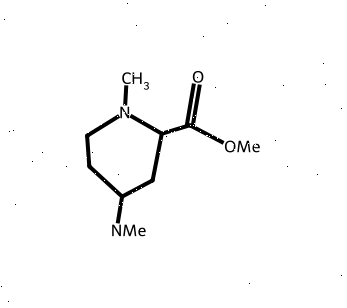 CNC1CCN(C)C(C(=O)OC)C1